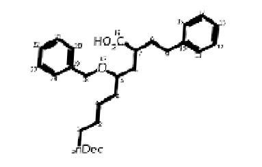 CCCCCCCCCCCCCCC(CC(CCc1ccccc1)C(=O)O)OCc1ccccc1